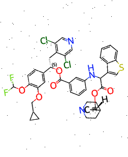 O=C(O[C@@H](Cc1c(Cl)cncc1Cl)c1ccc(OC(F)F)c(OCC2CC2)c1)c1cccc(NC(C(=O)O[C@H]2CN3CCC2CC3)c2csc3ccccc23)c1